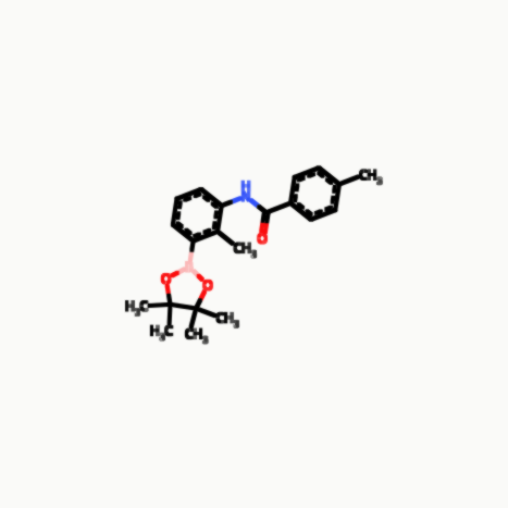 Cc1ccc(C(=O)Nc2cccc(B3OC(C)(C)C(C)(C)O3)c2C)cc1